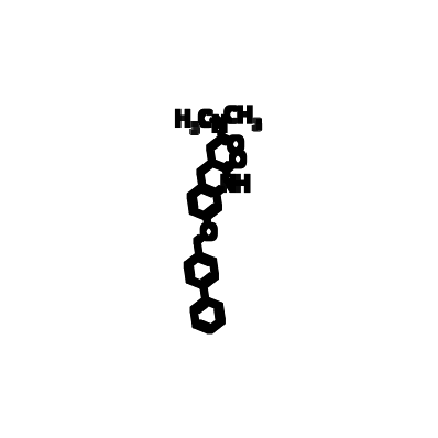 CN(C)C(=O)CC1Cc2ccc(OCc3ccc(-c4ccccc4)cc3)cc2NC1=O